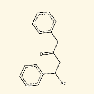 CC(=O)C(CC(=O)Cc1ccccc1)c1ccccc1